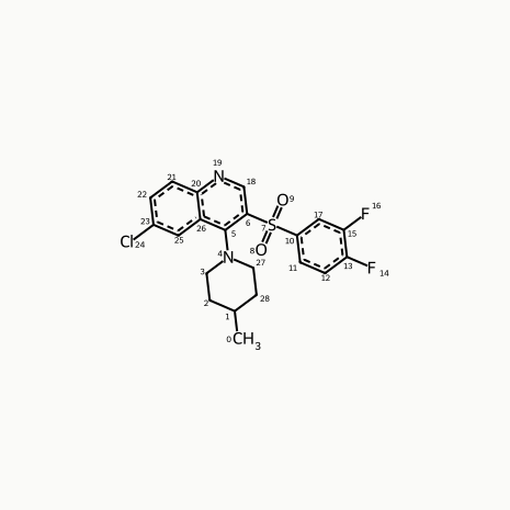 CC1CCN(c2c(S(=O)(=O)c3ccc(F)c(F)c3)cnc3ccc(Cl)cc23)CC1